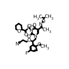 COc1ccc(F)cc1C(Cn1cc(/C(C)=N/OC(C)C)c(=O)n(N(C)C(=O)C2CCCCO2)c1=O)OCCC#N